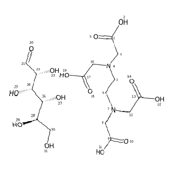 O=C(O)CN(CCN(CC(=O)O)CC(=O)O)CC(=O)O.O=C[C@H](O)[C@@H](O)[C@H](O)[C@H](O)CO